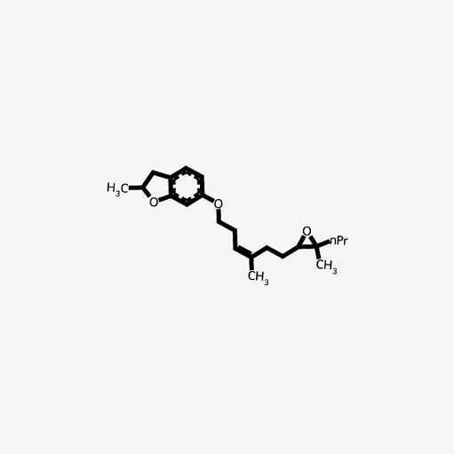 CCCC1(C)OC1CCC(C)=CCCOc1ccc2c(c1)OC(C)C2